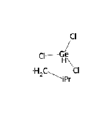 [CH2]C(C)C.[Cl][GeH]([Cl])[Cl]